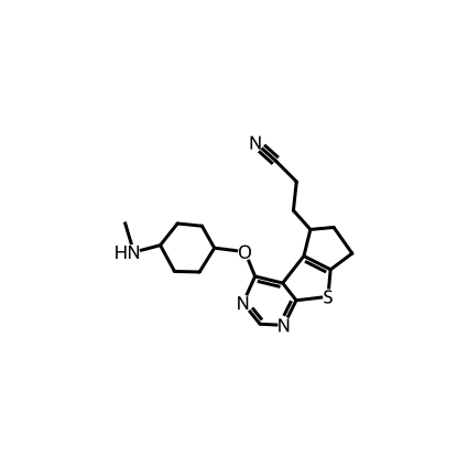 CNC1CCC(Oc2ncnc3sc4c(c23)C(CCC#N)CC4)CC1